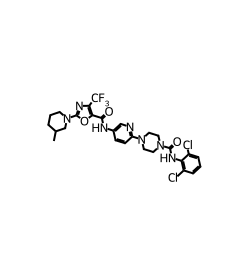 CC1CCCN(c2nc(C(F)(F)F)c(C(=O)Nc3ccc(N4CCN(C(=O)Nc5c(Cl)cccc5Cl)CC4)nc3)o2)C1